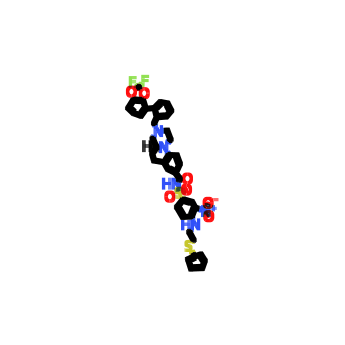 O=C(NS(=O)(=O)c1ccc(NCCSc2ccccc2)c([N+](=O)[O-])c1)c1ccc2c(c1)CC[C@H]1CN(Cc3ccccc3-c3cccc4c3OC(F)(F)O4)CCN21